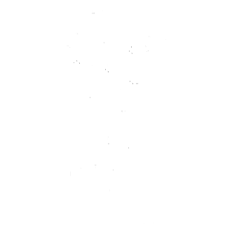 CCCCCC(C)OC(=O)c1ccc2c(c1)nc(NC(C)=O)n2C1=NCC(CC)S1